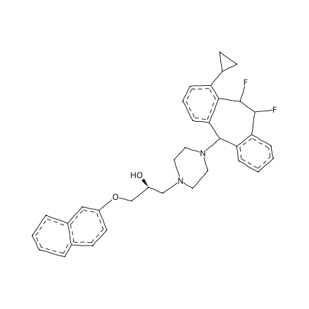 O[C@H](COc1ccc2ccccc2c1)CN1CCN(C2c3ccccc3C(F)C(F)c3c(C4CC4)cccc32)CC1